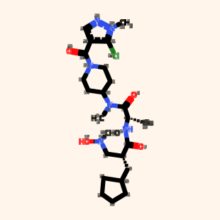 CN(C(=O)[C@@H](NC(=O)[C@H](CC1CCCC1)CN(O)C=O)C(C)(C)C)C1CCN(C(=O)c2cnn(C)c2Cl)CC1